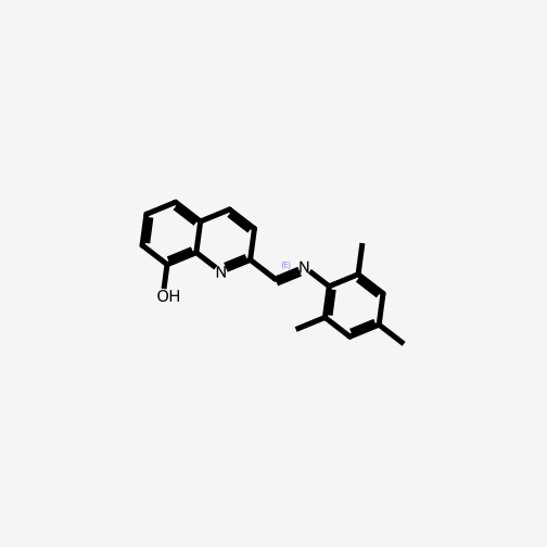 Cc1cc(C)c(/N=C/c2ccc3cccc(O)c3n2)c(C)c1